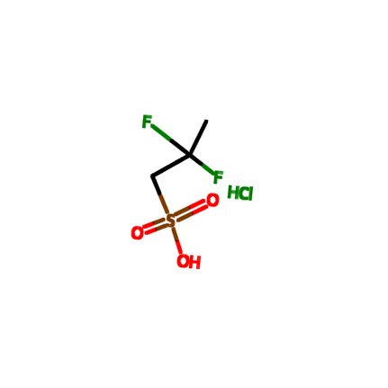 CC(F)(F)CS(=O)(=O)O.Cl